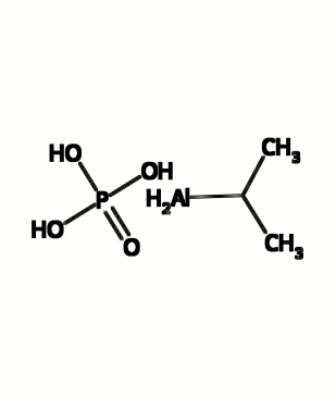 C[CH](C)[AlH2].O=P(O)(O)O